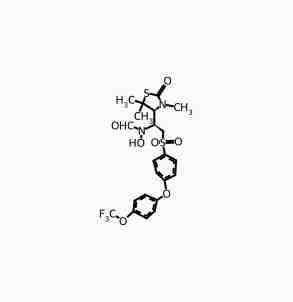 CN1C(=O)SC(C)(C)[C@@H]1[C@@H](CS(=O)(=O)c1ccc(Oc2ccc(OC(F)(F)F)cc2)cc1)N(O)C=O